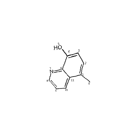 Cc1ccc(O)c2ncccc12